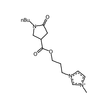 CCCCN1CC(C(=O)OCCCn2cc[n+](C)c2)CC1=O